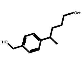 CCCCCCCCCCCC(C)c1ccc(CO)cc1